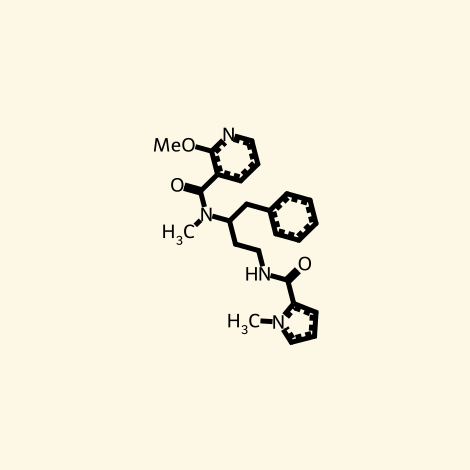 COc1ncccc1C(=O)N(C)C(CCNC(=O)c1cccn1C)Cc1ccccc1